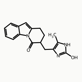 Cc1[nH]c(O)nc1CC1CCc2cc3ccccc3n2C1=O